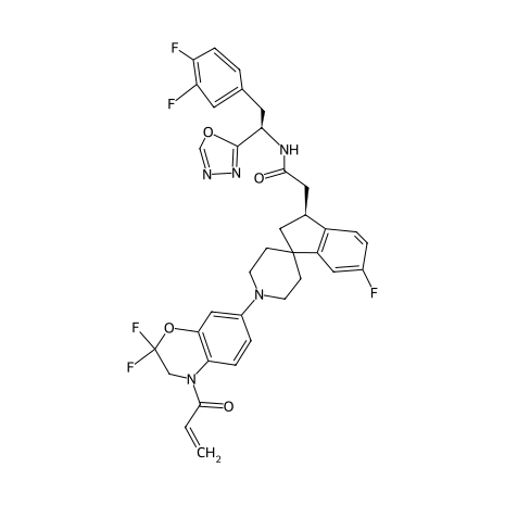 C=CC(=O)N1CC(F)(F)Oc2cc(N3CCC4(CC3)C[C@@H](CC(=O)N[C@H](Cc3ccc(F)c(F)c3)c3nnco3)c3ccc(F)cc34)ccc21